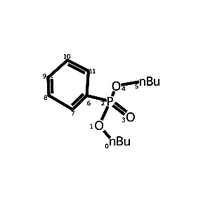 CCCCOP(=O)(OCCCC)c1cc[c]cc1